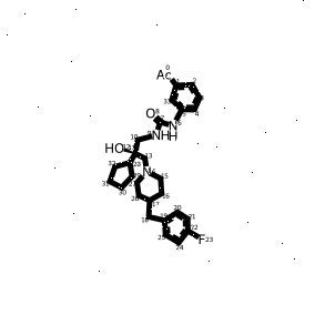 CC(=O)c1cccc(NC(=O)NC[C@](O)(CN2CCC(Cc3ccc(F)cc3)CC2)C2CCCC2)c1